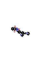 O=C1c2ccccc2C(=O)c2c1n[n+]([O-])n2Cc1ccc(-c2ccc(CCN3CCCCC3)c3cccnc23)cc1